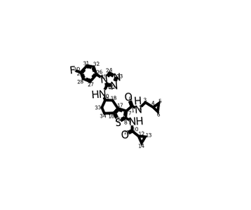 O=C(NCC1CC1)c1c(NC(=O)C2CC2)sc2c1CC(Nc1nncn1-c1ccc(F)cc1)CC2